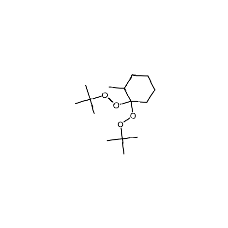 CC1CCCCC1(OOC(C)(C)C)OOC(C)(C)C